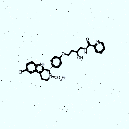 CCOC(=O)N1CCc2c([nH]c3ccc(Cl)cc23)[C@@H]1c1ccc(OCCC(O)CNC(=O)c2ccccn2)cc1